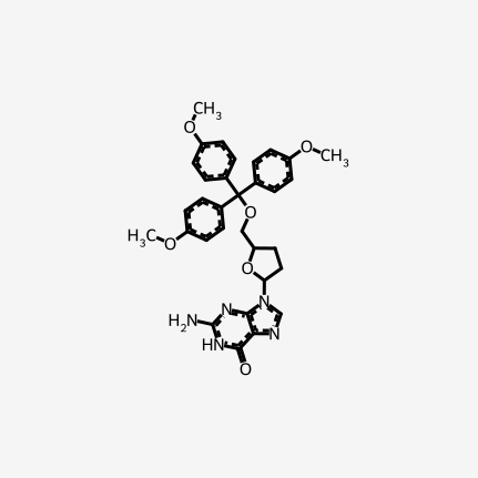 COc1ccc(C(OCC2CCC(n3cnc4c(=O)[nH]c(N)nc43)O2)(c2ccc(OC)cc2)c2ccc(OC)cc2)cc1